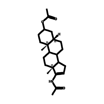 CC(=O)NC1=CCC2C3CC[C@H]4CC(OC(C)=O)CC[C@]4(C)C3CC[C@]12C